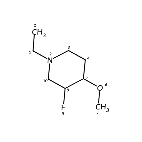 CCN1CCC(OC)C(F)C1